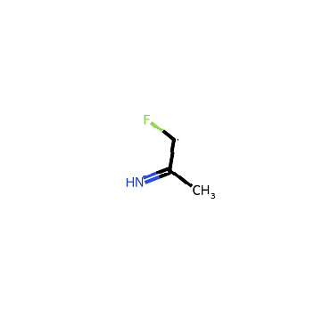 CC(=N)[CH]F